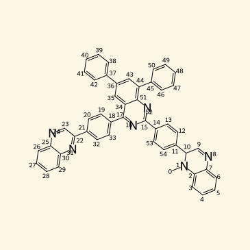 CN1c2ccccc2N=CC1c1ccc(-c2nc(-c3ccc(-c4cnc5ccccc5n4)cc3)c3cc(-c4ccccc4)cc(-c4ccccc4)c3n2)cc1